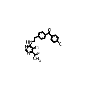 CC(F)c1ncnc(NCCc2ccc(C(=O)c3ccc(Cl)cc3)cc2)c1Cl